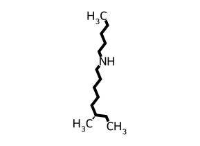 CCCCCNCCCCC[C@@H](C)CC